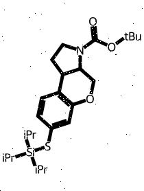 CC(C)[Si](Sc1ccc2c(c1)OCC1C2CCN1C(=O)OC(C)(C)C)(C(C)C)C(C)C